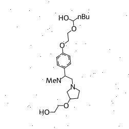 CCCCC(O)OCCOc1ccc(C(CN2CCC(OCCO)C2)NC)cc1